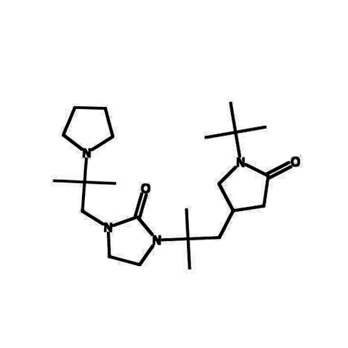 CC(C)(C)N1CC(CC(C)(C)N2CCN(CC(C)(C)N3CCCC3)C2=O)CC1=O